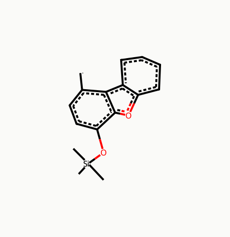 [CH2]c1ccc(O[Si](C)(C)C)c2oc3ccccc3c12